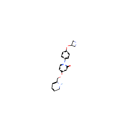 O=c1cc(OCC2=CC=CCN2Cl)ccn1-c1ccc(OC2CNC2)cc1